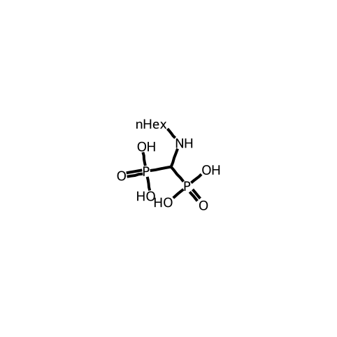 CCCCCCNC(P(=O)(O)O)P(=O)(O)O